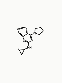 c1ccc2c(N3CCCC3)nc(NC3CC3)nc2c1